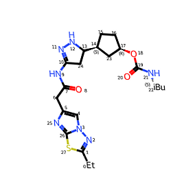 CCc1nn2cc(CC(=O)NC3=NNC([C@H]4CC[C@@H](OC(=O)N[C@@H](C)CC)C4)C3)nc2s1